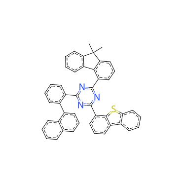 CC1(C)c2ccccc2-c2c(-c3nc(-c4ccccc4-c4cccc5ccccc45)nc(-c4cccc5c4sc4ccccc45)n3)cccc21